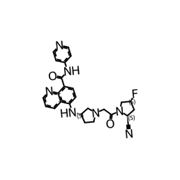 N#C[C@@H]1C[C@H](F)CN1C(=O)CN1CC[C@H](Nc2ccc(C(=O)Nc3ccncc3)c3ncccc23)C1